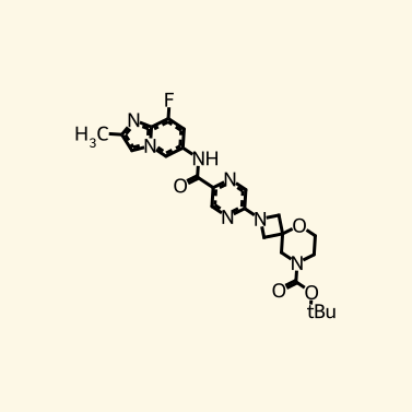 Cc1cn2cc(NC(=O)c3cnc(N4CC5(CN(C(=O)OC(C)(C)C)CCO5)C4)cn3)cc(F)c2n1